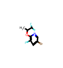 CC(Oc1ncc(Br)cc1F)C(F)F